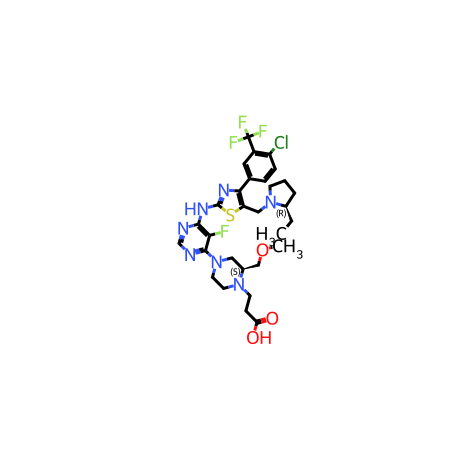 CC[C@@H]1CCCN1Cc1sc(Nc2ncnc(N3CCN(CCC(=O)O)[C@H](COC)C3)c2F)nc1-c1ccc(Cl)c(C(F)(F)F)c1